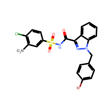 O=C(NS(=O)(=O)c1ccc(Cl)c([N+](=O)[O-])c1)c1nn(Cc2ccc(Br)cc2)c2ccccc12